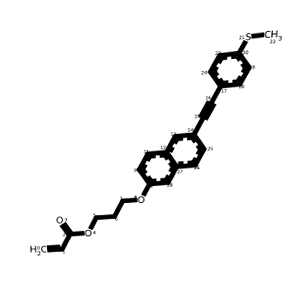 C=CC(=O)OCCCOc1ccc2cc(C#Cc3ccc(SC)cc3)ccc2c1